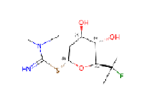 CN(C)C(=N)S[C@@H]1C[C@@H](O)[C@H](O)[C@@H](C(C)(C)F)O1